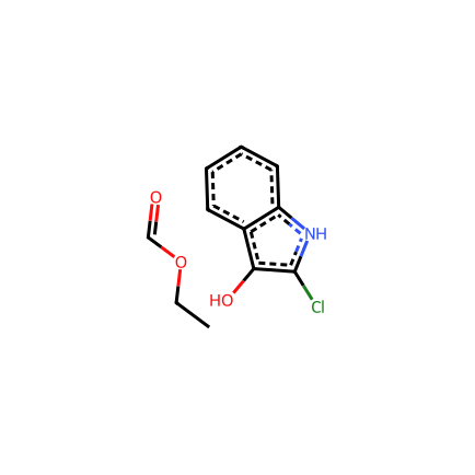 CCOC=O.Oc1c(Cl)[nH]c2ccccc12